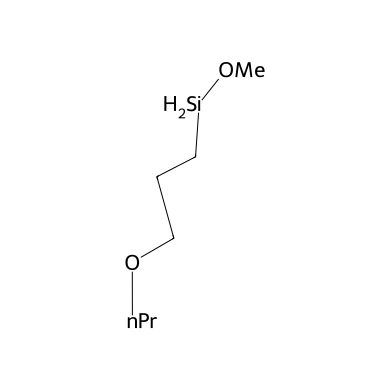 CCCOCCC[SiH2]OC